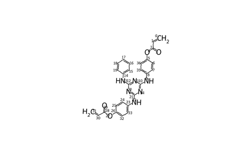 C=CC(=O)Oc1ccc(Nc2nc(Nc3ccccc3)nc(Nc3ccc(OC(=O)C=C)cc3)n2)cc1